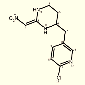 O=[N+]([O-])C=C1NCCC(Cc2ccc(Cl)nc2)N1